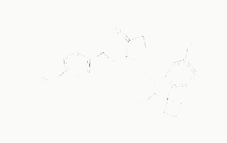 O=C(O)c1ccc(CCN2C(=O)CC[C@@H]2C=CC(O)C2(c3ccc(Cl)cc3)CCC2)cc1